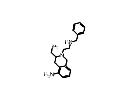 CC(C)CC1Cc2c(N)cccc2CN1CCNCc1ccccc1